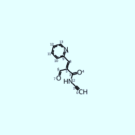 C#CNC(=O)/C([C]=O)=C/c1ccccn1